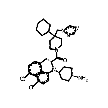 N[C@H]1CC[C@@H](N(c2ccc(Cl)cc2)[C@H](Cc2ccc(Cl)cc2)C(=O)N2CCC(Cn3cncn3)(C3CCCCC3)CC2)CC1